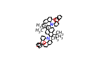 Cc1ccc2ccc(-c3ccccc3)c(N(c3cc(C(C)C)c4ccc5c(N(c6c(C)ccc7ccc(-c8ccccc8)cc67)c6cccc7c6oc6ccccc67)cc(C(C)C)c6ccc3c4c65)c3cccc4c3oc3ccccc34)c2c1